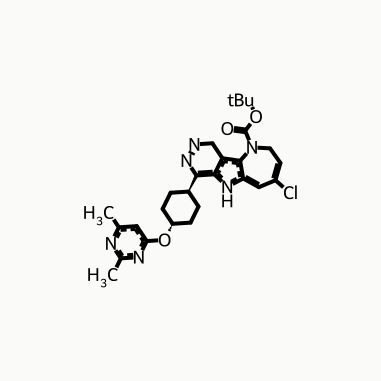 Cc1cc(O[C@H]2CC[C@H](C3=c4[nH]c5c(c4CN=N3)N(C(=O)OC(C)(C)C)CC=C(Cl)C=5)CC2)nc(C)n1